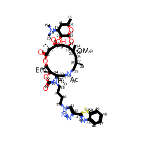 CC[C@H]1OC(=O)[C@H](C)C(=O)C[C@@H](O[C@@H]2OC(C)CC(N(C)C)C2O)[C@](C)(OC)C[C@@H](C)CN(C(C)=O)[C@H](C)[C@H]2N(CCCCn3cc(-c4nc5ccccc5s4)nn3)C(=O)O[C@]12C